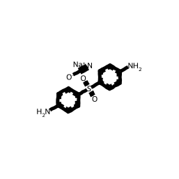 N#C[O-].Nc1ccc(S(=O)(=O)c2ccc(N)cc2)cc1.[Na+]